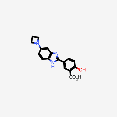 O=C(O)c1cc(-c2nc3cc(N4CCC4)ccc3[nH]2)ccc1O